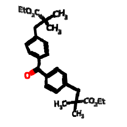 CCOC(=O)C(C)(C)Cc1ccc(C(=O)c2ccc(CC(C)(C)C(=O)OCC)cc2)cc1